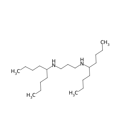 CCCCC(CCCC)NCCCNC(CCCC)CCCC